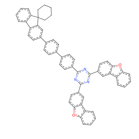 c1ccc2c(c1)-c1ccc(-c3ccc(-c4ccc(-c5nc(-c6ccc7oc8ccccc8c7c6)nc(-c6ccc7oc8ccccc8c7c6)n5)cc4)cc3)cc1C21CCCCC1